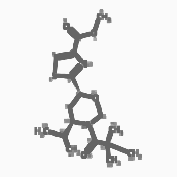 COC(=O)c1csc([C@H]2C[C@H](C(C)C)N(C(=O)C(C)(C)C)CO2)n1